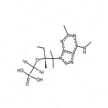 [2H]C([2H])(O[C@](C)(CC)C(C)(C)n1cnc2c(NC)nc(C)nc21)P(=O)(O)O